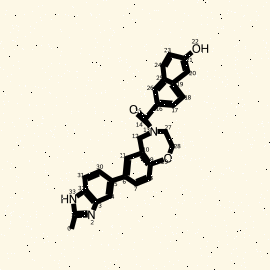 Cc1nc2cc(-c3ccc4c(c3)CN(C(=O)c3ccc5cc(O)ccc5c3)CCO4)ccc2[nH]1